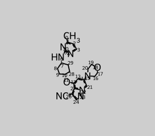 Cc1ccnc(N[C@H]2CC[C@@H](Oc3cc(N4CCOCC4)cn4ncc(C#N)c34)CC2)n1